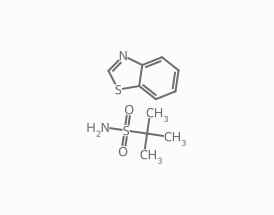 CC(C)(C)S(N)(=O)=O.c1ccc2scnc2c1